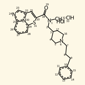 CN(CC1CCN(CCCc2ccccc2)CC1)C(=O)C1=Cc2cnc3cccc(n23)S1.Cl.Cl